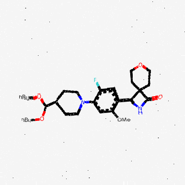 CCCCOC(OCCCC)C1CCN(c2cc(OC)c(C3NC(=O)C34CCOCC4)cc2F)CC1